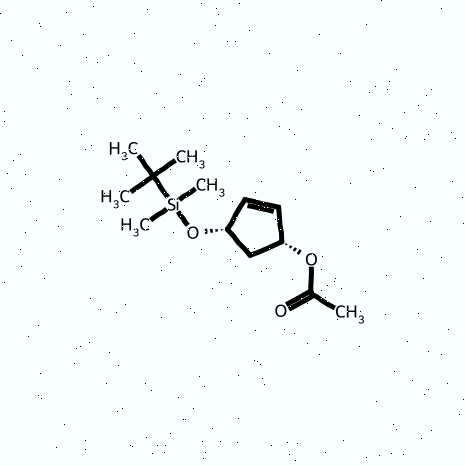 CC(=O)O[C@H]1C=C[C@@H](O[Si](C)(C)C(C)(C)C)C1